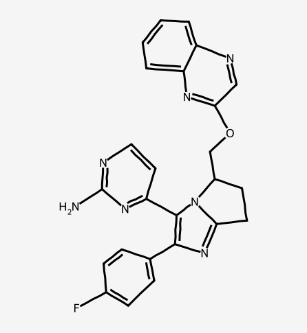 Nc1nccc(-c2c(-c3ccc(F)cc3)nc3n2C(COc2cnc4ccccc4n2)CC3)n1